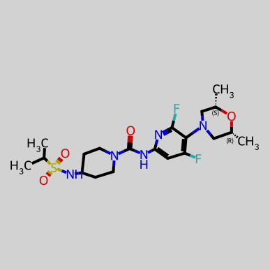 CC(C)S(=O)(=O)NC1CCN(C(=O)Nc2cc(F)c(N3C[C@@H](C)O[C@@H](C)C3)c(F)n2)CC1